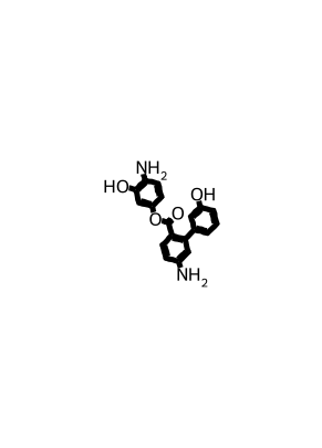 Nc1ccc(C(=O)Oc2ccc(N)c(O)c2)c(-c2cccc(O)c2)c1